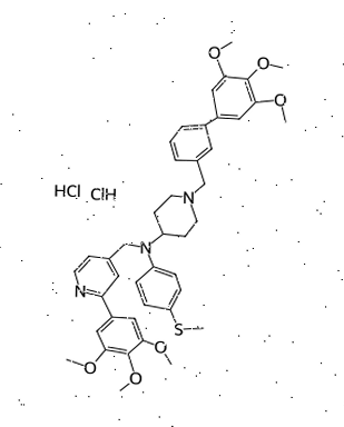 COc1cc(-c2cccc(CN3CCC(N(Cc4ccnc(-c5cc(OC)c(OC)c(OC)c5)c4)c4ccc(SC)cc4)CC3)c2)cc(OC)c1OC.Cl.Cl